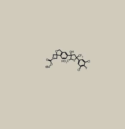 CC(C)(C)OC(=O)N1CC2(C1)OCc1cc(C3(O)CC(c4cc(Cl)c(F)c(Cl)c4)(C(F)(F)F)SC3C(=O)O)ccc12